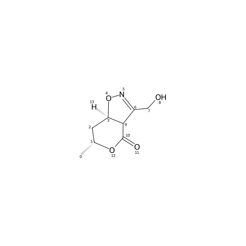 C[C@@H]1C[C@H]2ON=C(CO)C2C(=O)O1